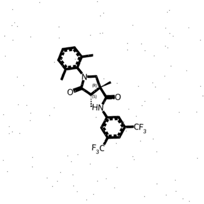 Cc1cccc(C)c1N1C[C@](C)(C(=O)Nc2cc(C(F)(F)F)cc(C(F)(F)F)c2)[C@H](C)C1=O